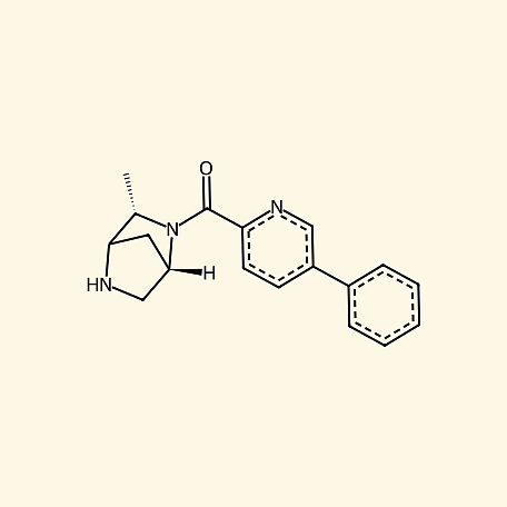 C[C@H]1C2C[C@@H](CN2)N1C(=O)c1ccc(-c2ccccc2)cn1